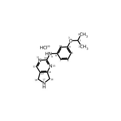 CC(C)Oc1cccc(Nc2ncc3c(n2)CNC3)c1.Cl